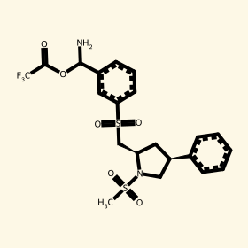 CS(=O)(=O)N1C[C@H](c2ccccc2)C[C@@H]1CS(=O)(=O)c1cccc(C(N)OC(=O)C(F)(F)F)c1